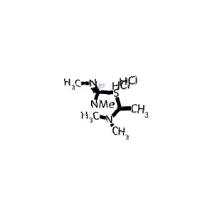 C/N=C(\NC)SC(C)N(C)C.Cl.Cl